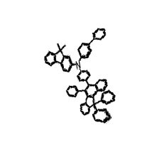 CC1(C)c2ccccc2-c2ccc(N(c3ccc(-c4ccccc4)cc3)c3ccc(-c4c(-c5ccccc5)c5c(c6ccccc46)C(c4ccccc4)(c4ccccc4)c4ccccc4-5)cc3)cc21